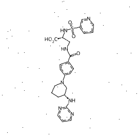 O=C(NC[C@H](NS(=O)(=O)c1cccnc1)C(=O)O)c1ccc(N2CCC[C@H](Nc3ncccn3)C2)cc1